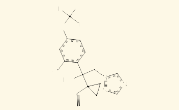 C=CC1(C(O)(Cn2cncn2)c2ccc(OC(F)(F)F)cc2Cl)CC1